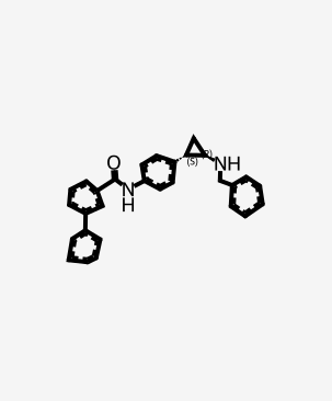 O=C(Nc1ccc([C@@H]2C[C@H]2NCc2ccccc2)cc1)c1cccc(-c2ccccc2)c1